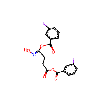 O=C(CC/C(=N/O)OC(=O)c1cccc(I)c1)OC(=O)c1cccc(I)c1